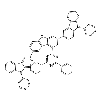 c1ccc(-c2nc(-c3ccccc3)nc(-c3cc(-c4ccc5c(c4)c4ccccc4n5-c4ccccc4)cc4oc5ccc(-c6ccc7c(c6)c6ccccc6n7-c6ccccc6)cc5c34)n2)cc1